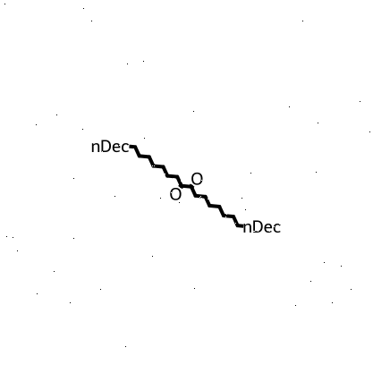 CCCCCCCCCCCCCCCCCC(=O)C(=O)CCCCCCCCCCCCCCCCC